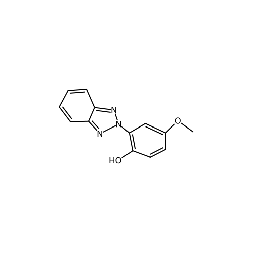 COc1ccc(O)c(-n2nc3ccccc3n2)c1